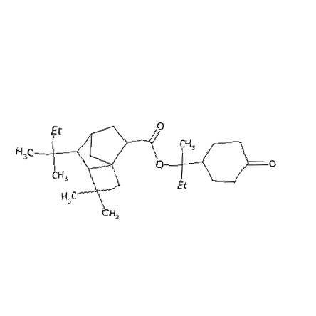 CCC(C)(C)C1C2CC(C(=O)OC(C)(CC)C3CCC(=O)CC3)C3(C2)CC(C)(C)C13